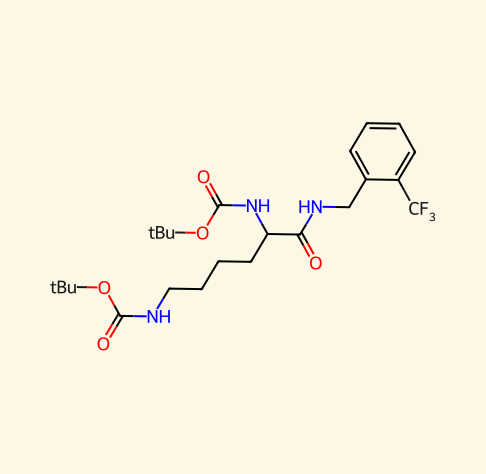 CC(C)(C)OC(=O)NCCCCC(NC(=O)OC(C)(C)C)C(=O)NCc1ccccc1C(F)(F)F